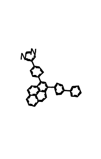 c1ccc(-c2ccc(-c3cc(-c4ccc(-c5cncnc5)cc4)c4ccc5cccc6ccc3c4c65)cc2)cc1